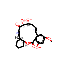 COc1cc(O)c2c(c1)/C=C/C[C@H](O)[C@H](O)C(=O)/C=C\[C@H]1CCCC[C@@H]1OC2=O